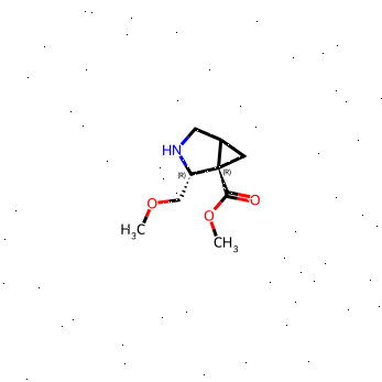 COC[C@@H]1NCC2C[C@@]21C(=O)OC